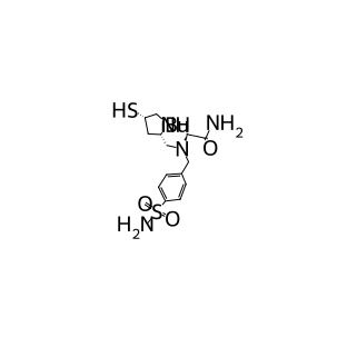 CC[C@H](C)[C@@H](C(N)=O)N(Cc1ccc(S(N)(=O)=O)cc1)C[C@@H]1C[C@H](S)CN1